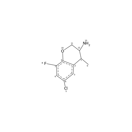 CC1c2cc(Cl)cc(F)c2OCC1N